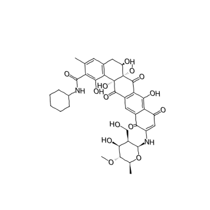 CO[C@@H]1[C@@H](O)[C@@H](CO)[C@@H](NC2=CC(=O)c3c(cc4c(c3O)C(=O)[C@]3(OC)[C@H](O)Cc5cc(C)c(C(=O)NC6CCCCC6)c(O)c5[C@]3(O)C4=O)C2=O)O[C@H]1C